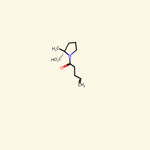 C=CCCC(=O)N1CCC[C@@]1(C)C(=O)O